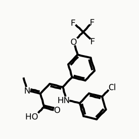 C/N=C(\C=C(/Nc1cccc(Cl)c1)c1cccc(OC(F)(F)F)c1)C(=O)O